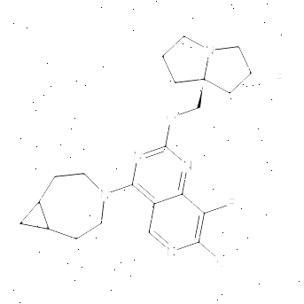 Fc1c(Cl)ncc2c(N3CCC4CC4CC3)nc(OC[C@@]34CCCN3C[C@H](F)C4)nc12